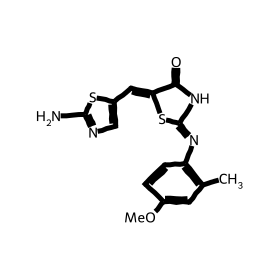 COc1ccc(/N=C2/NC(=O)/C(=C/c3cnc(N)s3)S2)c(C)c1